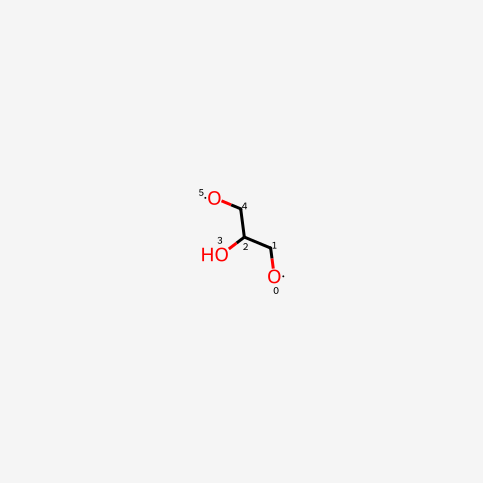 [O]CC(O)C[O]